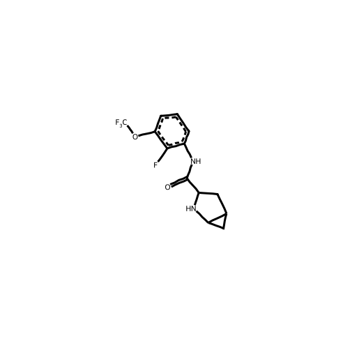 O=C(Nc1cccc(OC(F)(F)F)c1F)C1CC2CC2N1